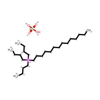 CCCCCCCCCCCCCC[P+](CCCC)(CCCC)CCCC.O=S(=O)([O-])O